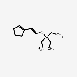 CC[Si](CC)(CC)OC=CC1=CCCC1